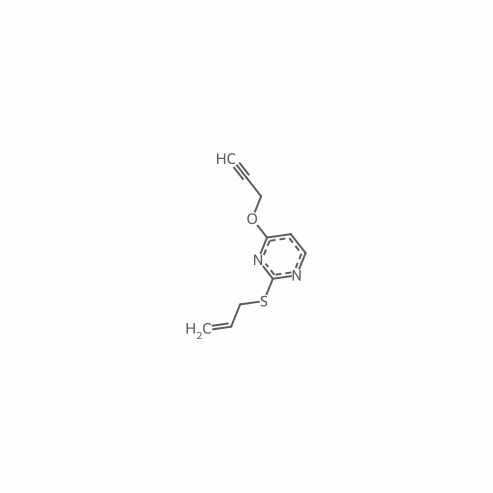 C#CCOc1ccnc(SCC=C)n1